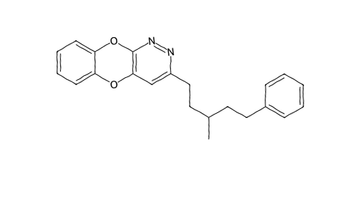 CC(CCc1ccccc1)CCc1cc2c(nn1)Oc1ccccc1O2